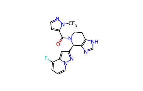 O=C(c1ccnn1C(F)(F)F)N1CCc2[nH]cnc2[C@H]1c1cc2c(F)cccn2n1